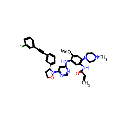 C=CC(=O)Nc1cc(Nc2cc(N3OCC[C@@H]3c3cccc(C#Cc4cccc(F)c4)c3)ncn2)c(OC)cc1N1CCN(C)CC1